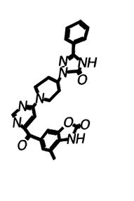 Cc1cc(C(=O)c2cc(N3CCC(n4nc(-c5ccccc5)[nH]c4=O)CC3)ncn2)cc2oc(=O)[nH]c12